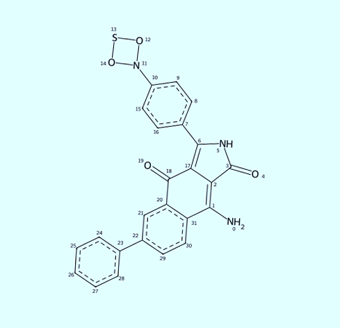 NC1=C2C(=O)NC(c3ccc(N4OSO4)cc3)=C2C(=O)c2cc(-c3ccccc3)ccc21